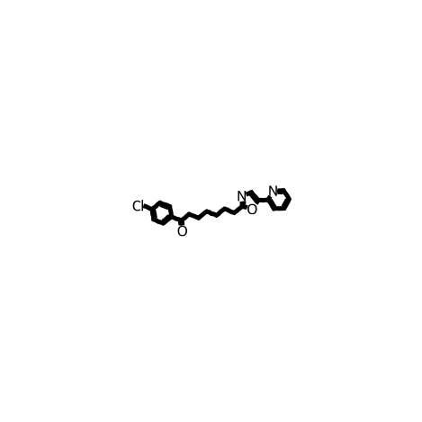 O=C(CCCCCCc1ncc(-c2ccccn2)o1)c1ccc(Cl)cc1